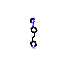 C(=C\c1ccc(-n2cccn2)cc1)/c1ccncc1